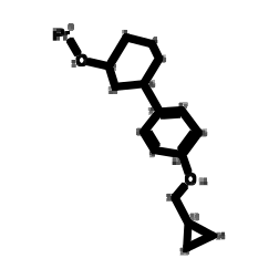 CC(C)OC1CCCC(c2ccc(OCC3CC3)cc2)C1